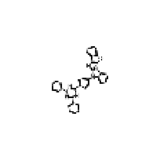 c1ccc(-c2nc(-c3ccccc3)nc(-c3ccc(-n4c5ccccc5n5c6oc7ccccc7c6nc45)cc3)n2)cc1